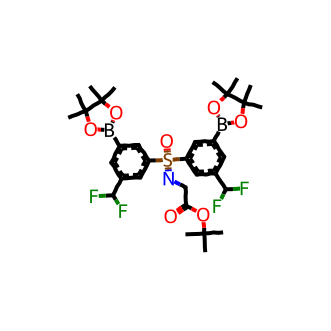 CC(C)(C)OC(=O)CN=S(=O)(c1cc(B2OC(C)(C)C(C)(C)O2)cc(C(F)F)c1)c1cc(B2OC(C)(C)C(C)(C)O2)cc(C(F)F)c1